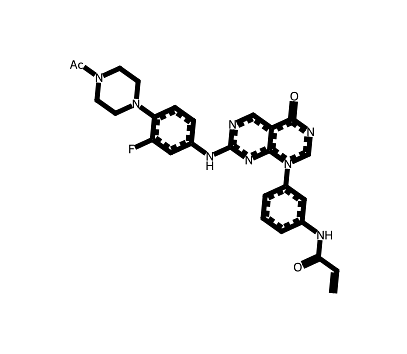 C=CC(=O)Nc1cccc(-n2cnc(=O)c3cnc(Nc4ccc(N5CCN(C(C)=O)CC5)c(F)c4)nc32)c1